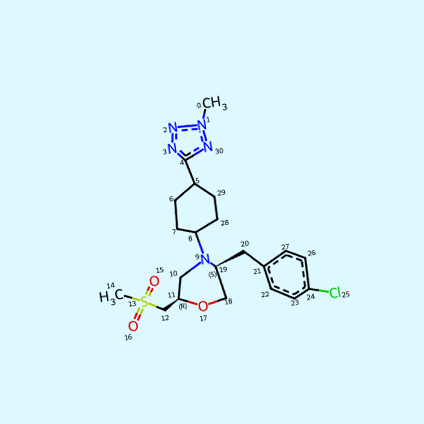 Cn1nnc(C2CCC(N3C[C@H](CS(C)(=O)=O)OC[C@@H]3Cc3ccc(Cl)cc3)CC2)n1